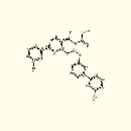 COC(=O)C(C(C)=O)N(Cc1cccc(-c2cccc(Br)n2)n1)Cc1cccc(-c2cccc(Br)n2)n1